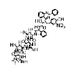 N=C(N)NC(NC(=O)C(NC(=N)N)NC(=O)C(NC(=N)N)NC(=O)C(NC(=N)N)NC(=O)C(NC(=O)C(O)N(Cc1ccc(O)c([N+](=O)[O-])c1)c1nc(-c2ccccc2)nc2ccccc12)c1ccccc1)C(N)=O